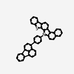 c1ccc2c(c1)-c1cccc3c(-c4ccc(-n5c6ccc7ccccc7c6c6ccc7c8ccccc8sc7c65)cc4)ccc-2c13